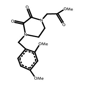 COC(=O)CN1CCN(Cc2ccc(OC)cc2OC)C(=O)C1=O